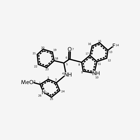 COc1cc(NC(C(=O)c2c[nH]c3cc(F)ccc23)c2ccccc2)ccn1